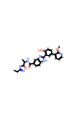 CCc1noc(C(C)NC(=O)c2ccc3[nH]c(-c4cc(-c5cccnc5OC)ccc4O)nc3c2)n1